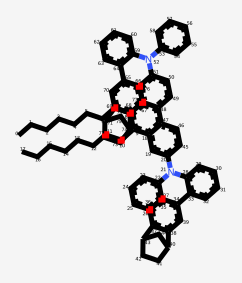 CCCCCCCCc1c(CCCCCCCC)c2cc(N(c3ccccc3)c3ccccc3-c3ccc4c(c3)C3CCC4C3)ccc2c2ccc(N(c3ccccc3)c3ccccc3-c3ccc4c(c3)C3CCC4C3)cc12